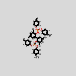 Cc1ccc(OP(Oc2ccc(C(C)C)cc2)Oc2c(C)cc(C)cc2-c2cc(C)cc(C)c2OP(Oc2ccc(C)cc2)Oc2ccc(C(C)C)cc2)cc1